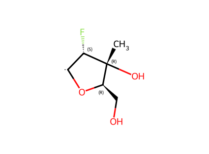 C[C@]1(O)[C@@H](F)[CH]O[C@@H]1CO